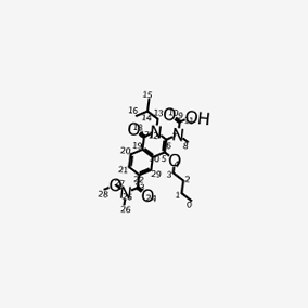 CCCCOc1c(N(C)C(=O)O)n(CC(C)C)c(=O)c2ccc(C(=O)N(C)OC)cc12